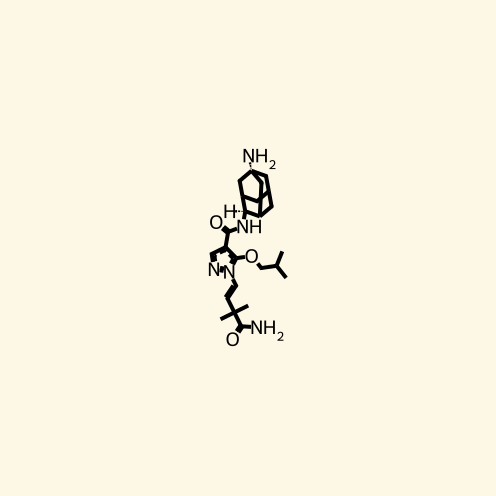 CC(C)COc1c(C(=O)N[C@H]2C3CC4CC2C[C@](N)(C4)C3)cnn1/C=C/C(C)(C)C(N)=O